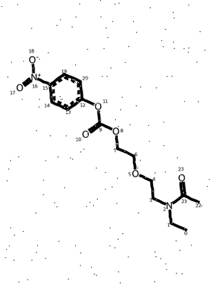 CCN(CCOCCOC(=O)Oc1ccc([N+](=O)[O-])cc1)C(C)=O